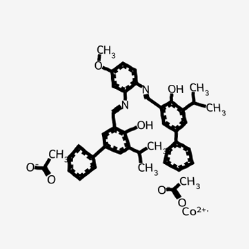 CC(=O)[O-].CC(=O)[O-].COc1ccc(N=Cc2cc(-c3ccccc3)cc(C(C)C)c2O)c(N=Cc2cc(-c3ccccc3)cc(C(C)C)c2O)c1.[Co+2]